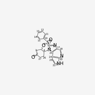 O=C1CCC(n2c(S(=O)(=O)c3ccccc3)nc3cnc4[nH]ccc4c32)CC1